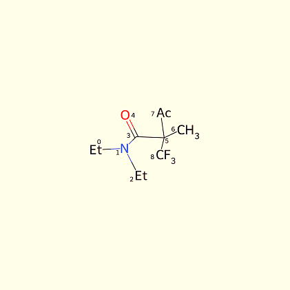 CCN(CC)C(=O)C(C)(C(C)=O)C(F)(F)F